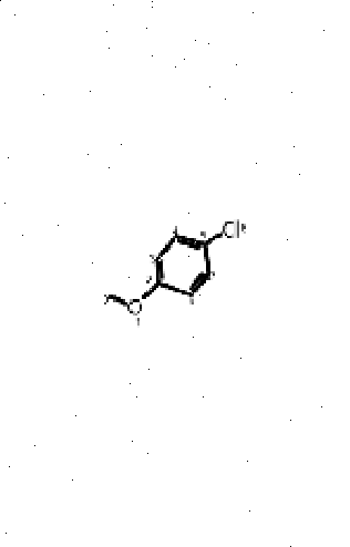 COc1[c]cc(Cl)[c]c1